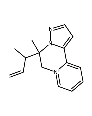 C=CC(C)C1(C)C[n+]2ccccc2-c2ccnn21